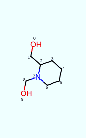 OCC1CCCCN1CO